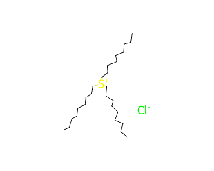 CCCCCCCCC[S+](CCCCCCCCC)CCCCCCCCC.[Cl-]